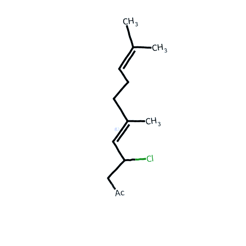 CC(=O)CC(Cl)/C=C(\C)CCC=C(C)C